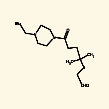 CC(C)(C)CN1CCN(C(=O)CCC(C)(C)SCC=O)CC1